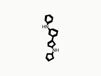 C1=CCC(NC2CC=C(c3cccc(Nc4ccccc4)c3)C2)C1